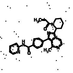 C=CC(=O)N1CCCCC1c1nc(-c2ccc(C(=O)Nc3ccccn3)cc2)c2c(C)nccn12